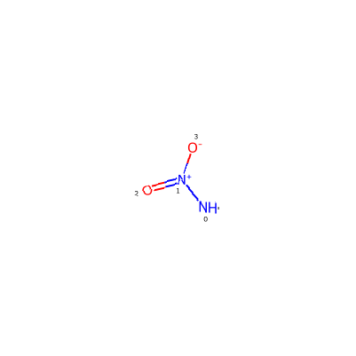 [NH][N+](=O)[O-]